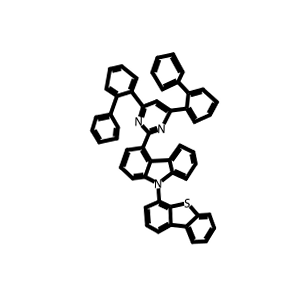 c1ccc(-c2ccccc2-c2cc(-c3ccccc3-c3ccccc3)nc(-c3cccc4c3c3ccccc3n4-c3cccc4c3sc3ccccc34)n2)cc1